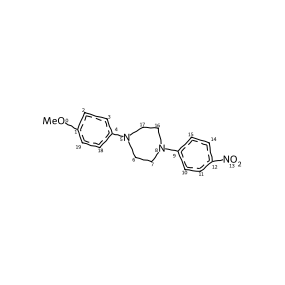 COc1ccc(N2CCN(c3ccc([N+](=O)[O-])cc3)CC2)cc1